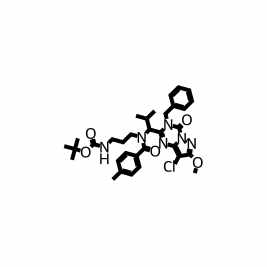 COc1nn2c(=O)n(Cc3ccccc3)c(C(C(C)C)N(CCCNC(=O)OC(C)(C)C)C(=O)c3ccc(C)cc3)nc2c1Cl